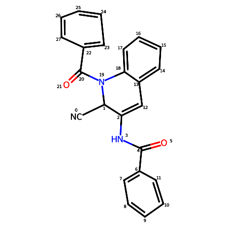 N#CC1C(NC(=O)c2ccccc2)=Cc2ccccc2N1C(=O)c1ccccc1